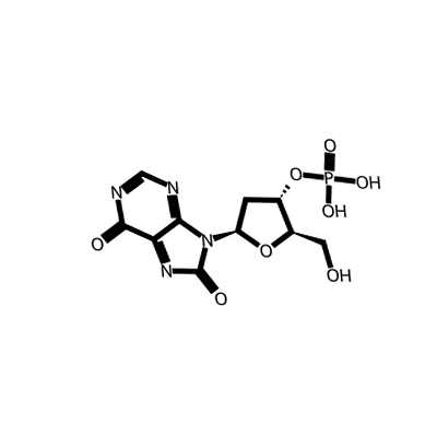 O=C1N=CN=C2C1=NC(=O)N2[C@H]1C[C@H](OP(=O)(O)O)[C@@H](CO)O1